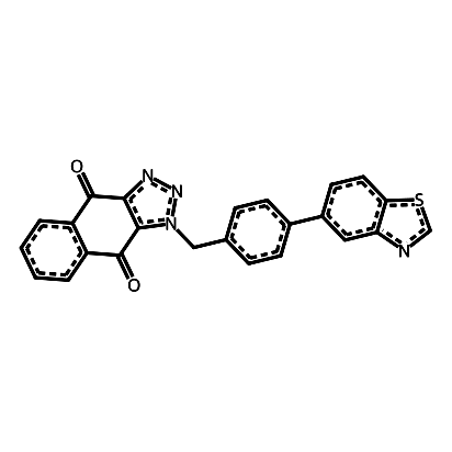 O=C1c2ccccc2C(=O)c2c1nnn2Cc1ccc(-c2ccc3scnc3c2)cc1